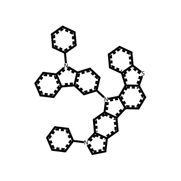 c1ccc(-n2ccc3cc4c5ccc6sc7ccccc7c6c5n(-c5ccc6c(c5)c5ccccc5n6-c5ccccc5)c4cc32)cc1